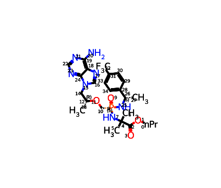 CCCOC(=O)C(C)(C)N[P@](=O)(CO[C@H](C)Cn1cnc2c(N)ncnc21)N[C@@H](C)c1ccc(C(F)(F)F)cc1